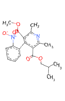 COC(=O)c1c(C)nc(C)c(C(=O)OCC(C)C)c1-c1ccccc1[N+](=O)[O-]